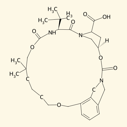 CC1(C)CCCCOCc2cccc3c2CN(C3)C(=O)O[C@@H]2CC(C(=O)O)N(C2)C(=O)[C@H](C(C)(C)C)NC(=O)OC1